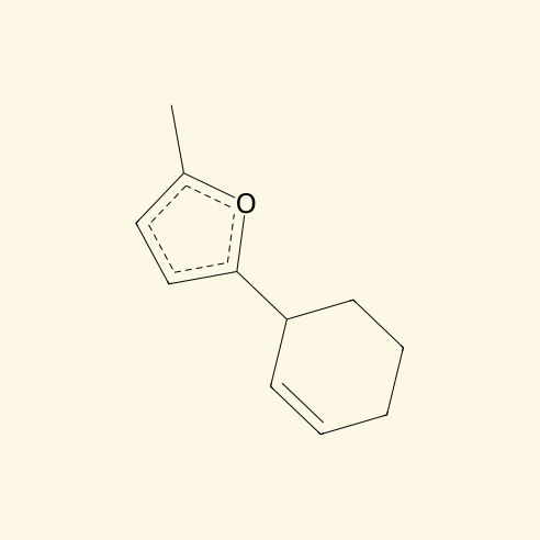 Cc1ccc(C2C=CCCC2)o1